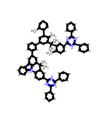 Cc1ccccc1-c1cc(-c2cccc(-c3cc4c5c(c3)c3ccccc3n5-c3ccc(-c5nc(-c6ccccc6)nc(-c6ccccc6)n5)cc3C4(C)C)c2)cc(C(C)(C)c2cc(-c3nc(-c4ccccc4)nc(-c4ccccc4)n3)ccc2C)c1C